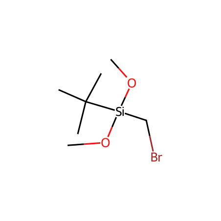 CO[Si](CBr)(OC)C(C)(C)C